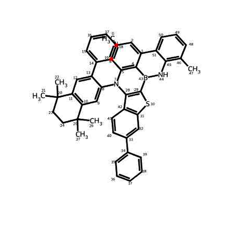 Cc1cc2c3c(c1)N(c1cc4c(cc1-c1ccccc1)C(C)(C)CCC4(C)C)c1c(sc4cc(-c5ccccc5)ccc14)B3Nc1c(C)cccc1-2